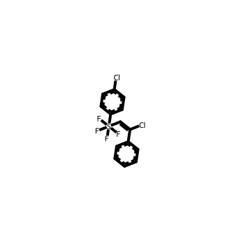 FS(F)(F)(F)(/C=C(/Cl)c1ccccc1)c1ccc(Cl)cc1